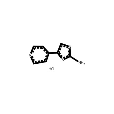 Cl.Nc1ncc(-c2ccncc2)s1